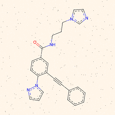 O=C(NCCCn1ccnc1)c1ccc(-n2cccn2)c(C#Cc2ccccc2)c1